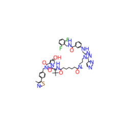 Cc1ncsc1-c1ccc(CNC(=O)C2=C[C@@H](O)CN2C(=O)[C@@H](NC(=O)CCCCCC(=O)N(C)CCCn2c(CNc3cccc(C(=O)NCc4c(F)cccc4F)c3)nnc2-c2ccncn2)C(C)(C)C)cc1